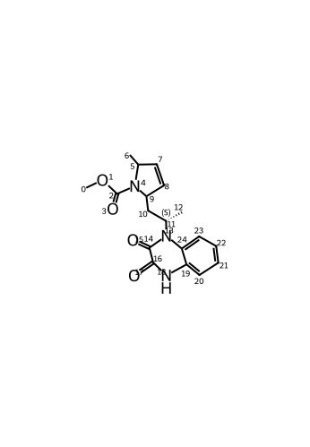 COC(=O)N1C(C)C=CC1C[C@H](C)n1c(=O)c(=O)[nH]c2ccccc21